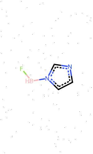 FBn1ccnc1